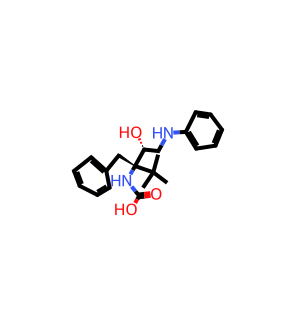 CC(C)(C)[C@](Cc1ccccc1)(NC(=O)O)[C@H](O)CNc1ccccc1